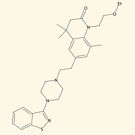 CCOCCN1C(=O)CC(C)(C)c2cc(CCN3CCN(c4nsc5ccccc45)CC3)cc(C)c21